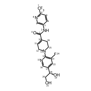 O=C(Nc1ccc(C(F)(F)F)nc1)C1=CCN(c2ncc([C@@H](O)CO)cc2F)CC1